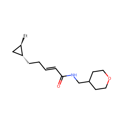 CC[C@@H]1C[C@H]1CC/C=C/C(=O)NCC1CCOCC1